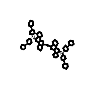 C(#Cc1cc2c3ccccc3c(N(c3ccc(-c4ccccc4)cc3)c3ccc(-c4ccccc4)cc3)cc2c2ccccc12)c1cc2c3ccccc3c(N(c3ccc(C4=CC=CCC4)cc3)c3ccc(-c4ccccc4)cc3)cc2c2ccccc12